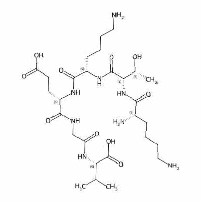 CC(C)[C@H](NC(=O)CNC(=O)[C@H](CCC(=O)O)NC(=O)[C@H](CCCCN)NC(=O)[C@@H](NC(=O)[C@@H](N)CCCCN)[C@@H](C)O)C(=O)O